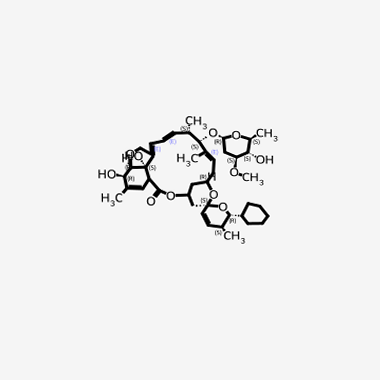 CO[C@H]1C[C@H](O[C@@H]2/C(C)=C/C[C@@H]3CC(C[C@]4(C=C[C@H](C)[C@@H](C5CCCCC5)O4)O3)OC(=O)C3C=C(C)[C@@H](O)[C@H]4OC/C(=C\C=C\[C@@H]2C)[C@@]34O)O[C@@H](C)[C@@H]1O